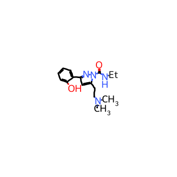 CCNC(=O)n1nc(-c2ccccc2O)cc1CCN(C)C